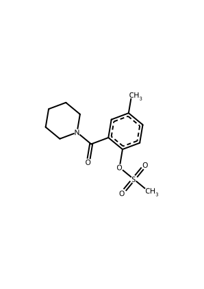 Cc1ccc(OS(C)(=O)=O)c(C(=O)N2CCCCC2)c1